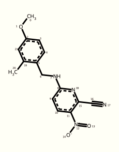 COc1ccc(CNc2ccc([N+](=O)[O-])c(C#N)n2)c(C)c1